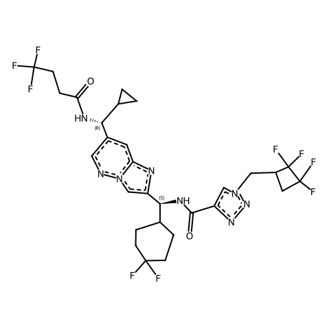 O=C(CCC(F)(F)F)N[C@@H](c1cnn2cc([C@@H](NC(=O)c3cn(CC4CC(F)(F)C4(F)F)nn3)C3CCC(F)(F)CC3)nc2c1)C1CC1